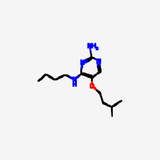 CCCCNc1nc(N)ncc1OCCC(C)C